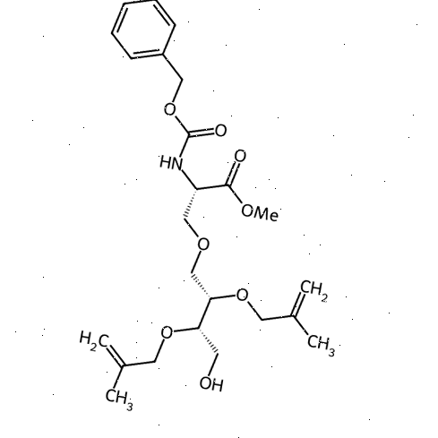 C=C(C)CO[C@@H](CO)[C@H](COC[C@H](NC(=O)OCc1ccccc1)C(=O)OC)OCC(=C)C